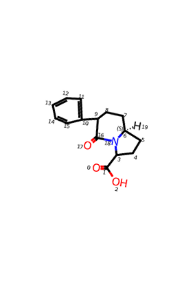 O=C(O)C1CC[C@@H]2CCC(c3ccccc3)C(=O)N12